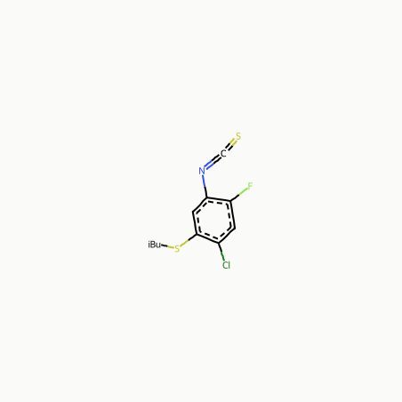 CCC(C)Sc1cc(N=C=S)c(F)cc1Cl